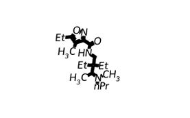 CCCN(C)C(C)C(CC)(CC)CNC(=O)c1noc(CC)c1C